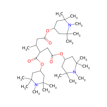 CC(CC(=O)OC1CC(C)(C)N(C)C(C)(C)C1)C(CC(=O)OC1CC(C)(C)N(C)C(C)(C)C1)C(=O)OC1CC(C)(C)N(C)C(C)(C)C1